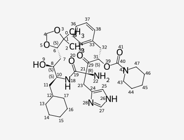 CC1(C)OCO[C@H]1C[C@H](O)[C@H](CC1CCCCC1)NC(=O)[C@@](N)(Cc1c[nH]cn1)C(=O)[C@H](Cc1ccccc1)OC(=O)N1CCCCC1